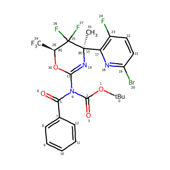 CC(C)(C)OC(=O)N(C(=O)c1ccccc1)C1=N[C@](C)(c2nc(Br)ccc2F)C(F)(F)[C@H](C(F)(F)F)O1